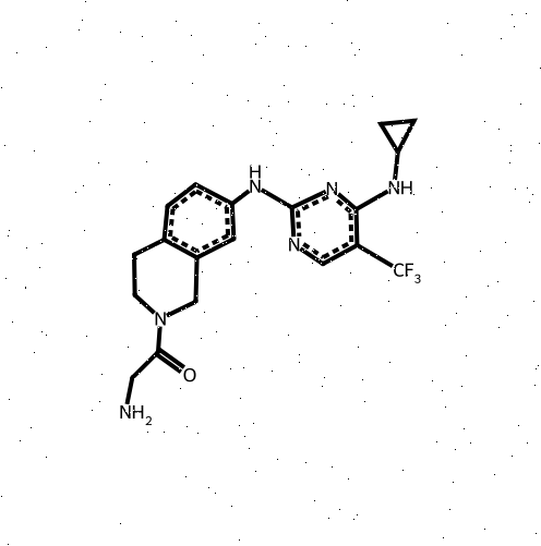 NCC(=O)N1CCc2ccc(Nc3ncc(C(F)(F)F)c(NC4CC4)n3)cc2C1